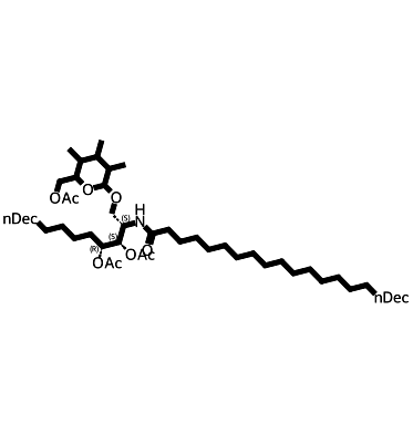 CCCCCCCCCCCCCCCCCCCCCCCCCC(=O)N[C@@H](COC1OC(COC(C)=O)C(C)C(C)C1C)[C@H](OC(C)=O)[C@@H](CCCCCCCCCCCCCC)OC(C)=O